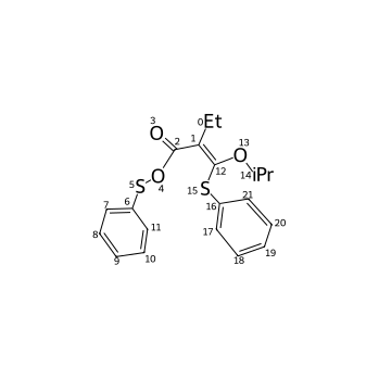 CCC(C(=O)OSc1ccccc1)=C(OC(C)C)Sc1ccccc1